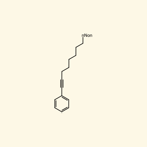 CCCCCCCCCCCCCCCC#Cc1cc[c]cc1